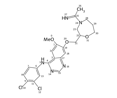 COc1cc2c(Nc3ccc(Cl)c(Cl)c3)ncnc2cc1OCC1CN(C(C)=N)CCCO1